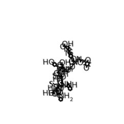 CSCCC[C@@H](NC(=O)[C@@H](Cc1c[nH]c2ccccc12)NC(=O)CNC(=O)[C@@H](CCSC)NC(=O)[C@@H](CCc1ccc(O)cc1)NC(=O)[C@@H](CC(=O)O)NC(=O)CCOCCOCCN(CCN(C)C(=O)CC(C)(C)C1=C(C)C(=O)C(C)=C(C)C1=O)C(=O)Oc1ccc2nc(C3=NC(C(=O)O)CS3)sc2c1)C(=O)N[C@H](CC(=O)O)C(=O)N[C@H](Cc1ccccc1)C(N)=O